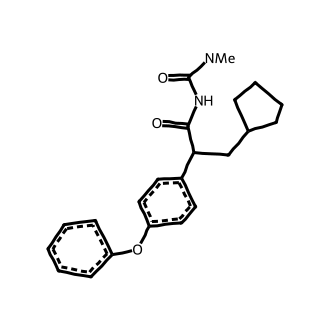 CNC(=O)NC(=O)C(CC1CCCC1)c1ccc(Oc2ccccc2)cc1